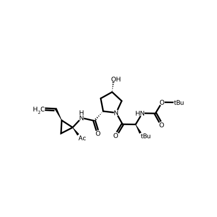 C=C[C@@H]1C[C@]1(NC(=O)[C@@H]1C[C@H](O)CN1C(=O)[C@@H](NC(=O)OC(C)(C)C)C(C)(C)C)C(C)=O